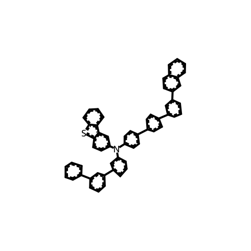 c1ccc(-c2cccc(-c3cccc(N(c4ccc(-c5ccc(-c6cccc(-c7ccc8ccccc8c7)c6)cc5)cc4)c4ccc5sc6ccccc6c5c4)c3)c2)cc1